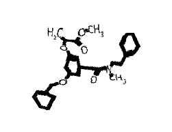 C=C(Oc1cc(CC(=O)N(C)CCc2ccccc2)cc(OCc2ccccc2)c1)C(=O)OC